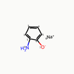 Nc1ccccc1[O-].[Na+]